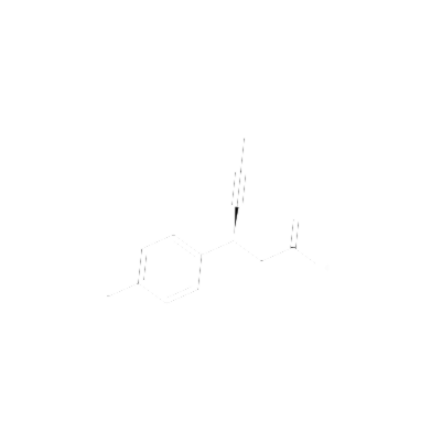 CC#C[C@@H](CC(=O)O)c1ccc(I)cc1